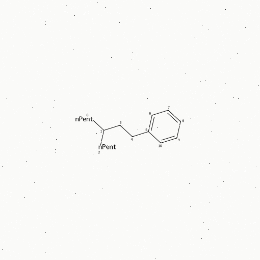 CCCCCC(CCCCC)CCc1cc[c]cc1